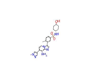 Cc1ccc(S(=O)(=O)N[C@H]2CC[C@H](O)CC2)cc1-c1cnc2c(N)c(-c3cnn(C)c3)ccn12